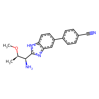 CO[C@H](C)[C@H](N)c1nc2cc(-c3ccc(C#N)cc3)ccc2[nH]1